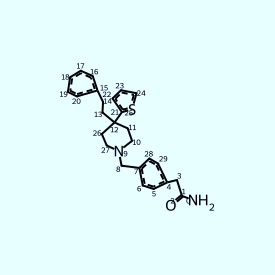 NC(=O)Cc1ccc(CN2CCC(CCc3ccccc3)(c3cccs3)CC2)cc1